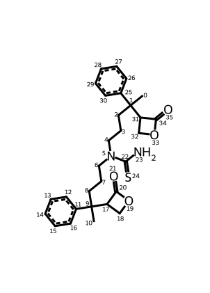 CC(CCCN(CCCC(C)(c1ccccc1)C1COC1=O)C(N)=S)(c1ccccc1)C1COC1=O